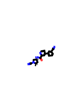 C[C@@H]1C[C@@H](NC(=O)c2cc(-c3cccc(C#N)c3)ccn2)CN1C#N